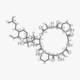 CCC1OC(O)(C(C)(O)C(=O)NC2C(=O)N3NCCCC3C(=O)N(O)C(C)C(=O)NCC(=O)N3NCCCC3C(=O)NC(C)C(=O)OC2C(C)C)CCC1CCC(C)C